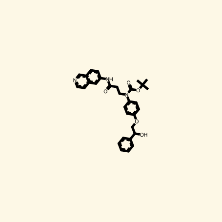 CC(C)(C)OC(=O)N(CCC(=O)Nc1ccc2cnccc2c1)c1ccc(OCC(O)c2ccccc2)cc1